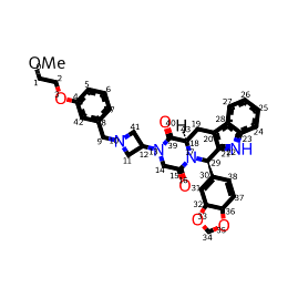 COCCOc1cccc(CN2CC(N3CC(=O)N4[C@H](Cc5c([nH]c6ccccc56)[C@H]4C4=CC5OCOC5C=C4)C3=O)C2)c1